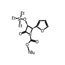 CCCCOC(=O)N1C(=O)[C@@H](O[Si](CC)(CC)CC)[C@H]1c1ccco1